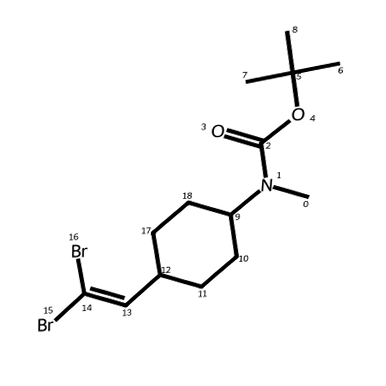 CN(C(=O)OC(C)(C)C)C1CCC(C=C(Br)Br)CC1